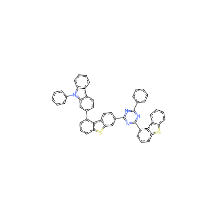 c1ccc(-c2nc(-c3ccc4c(c3)sc3cccc(-c5ccc6c7ccccc7n(-c7ccccc7)c6c5)c34)nc(-c3cccc4sc5ccccc5c34)n2)cc1